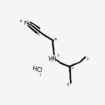 CC(C)NCC#N.Cl